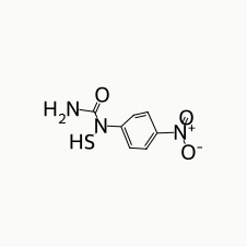 NC(=O)N(S)c1ccc([N+](=O)[O-])cc1